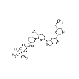 CCc1cncc(-c2cc3c(cn2)cnn3-c2ccc(C3CC3)c(N3CCC[C@H](NC(=O)OC(C)(C)C)C3)n2)c1